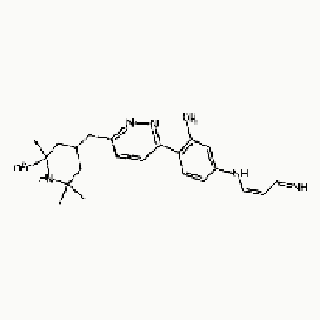 CCCC1(C)CC(Cc2ccc(-c3ccc(N/C=C\C=N)cc3O)nn2)CC(C)(C)N1